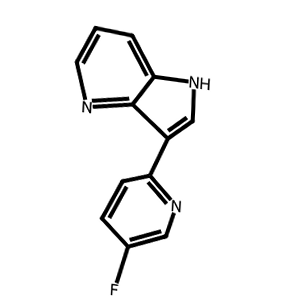 Fc1ccc(-c2c[nH]c3cccnc23)nc1